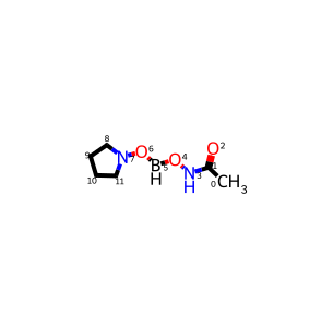 CC(=O)NOBON1CCCC1